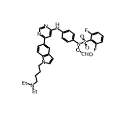 CCN(CC)CCCCn1ccc2cc(-c3cc(Nc4ccc(N(OC=O)S(=O)(=O)c5c(F)cccc5F)cc4)ncn3)ccc21